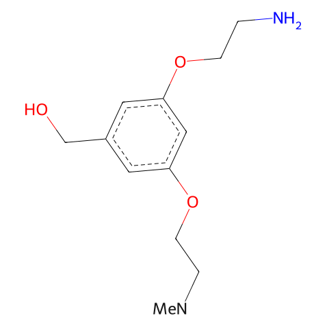 CNCCOc1cc(CO)cc(OCCN)c1